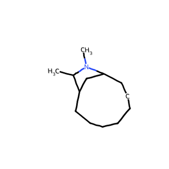 CC1C2CCCCCCCC(C2)N1C